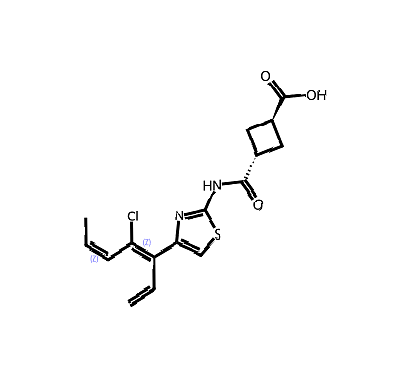 C=C/C(=C(Cl)\C=C/C)c1csc(NC(=O)[C@H]2C[C@H](C(=O)O)C2)n1